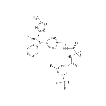 Cc1nc(-c2c(Cl)c3ccccc3n2-c2ccc(CNC(=O)C3(NC(=O)c4cc(F)cc(C(F)(F)F)c4)CC3)cc2)no1